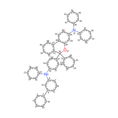 c1ccc(-c2cccc(N(c3ccccc3)c3ccc(C4(c5ccccc5)Oc5cc(N(c6ccccc6)c6ccccc6)ccc5-c5ccccc54)cc3)c2)cc1